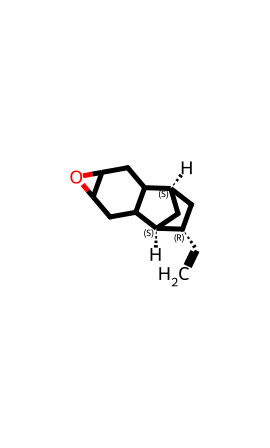 C=C[C@H]1C[C@H]2C[C@@H]1C1CC3OC3CC12